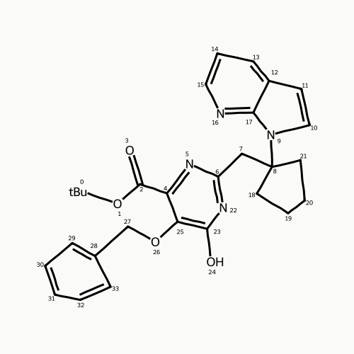 CC(C)(C)OC(=O)c1nc(CC2(n3ccc4cccnc43)CCCC2)nc(O)c1OCc1ccccc1